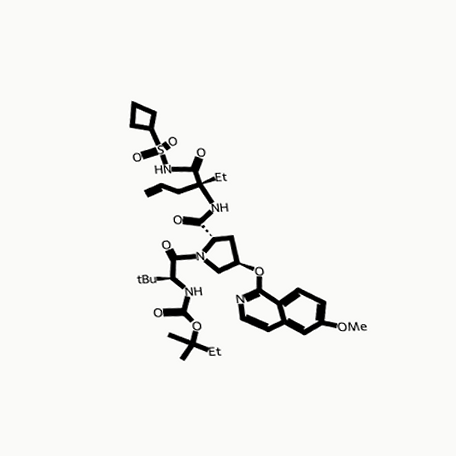 C=CC[C@@](CC)(NC(=O)[C@@H]1C[C@@H](Oc2nccc3cc(OC)ccc23)CN1C(=O)[C@@H](NC(=O)OC(C)(C)CC)C(C)(C)C)C(=O)NS(=O)(=O)C1CCC1